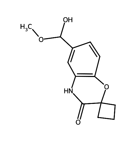 COC(O)c1ccc2c(c1)NC(=O)C1(CCC1)O2